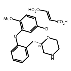 COc1ccc(Cl)cc1Oc1ccccc1C[C@H]1CNCCO1.O=C(O)C=CC(=O)O